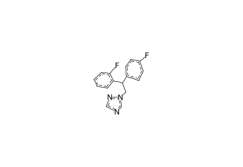 Fc1ccc(C(Cn2cncn2)c2ccccc2F)cc1